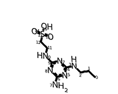 CCCNc1nc(N)nc(NCCS(=O)(=O)O)n1